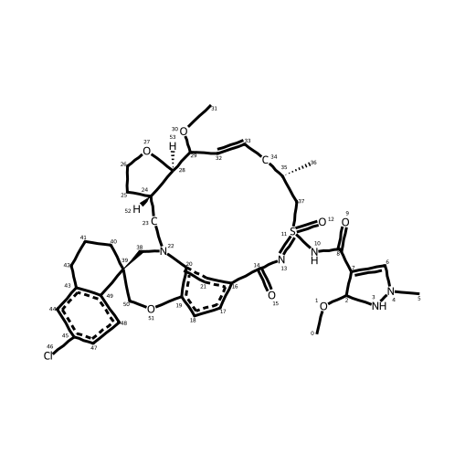 COC1NN(C)C=C1C(=O)NS1(=O)=NC(=O)c2ccc3c(c2)N(C[C@@H]2CCO[C@H]2C(OC)/C=C/C[C@H](C)C1)C[C@@]1(CCCc2cc(Cl)ccc21)CO3